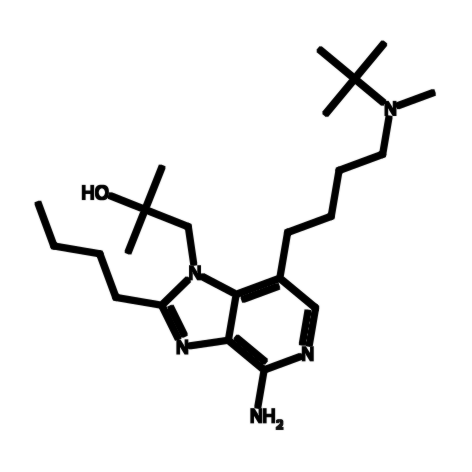 CCCCc1nc2c(N)ncc(CCCCN(C)C(C)(C)C)c2n1CC(C)(C)O